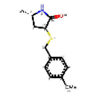 [CH2][C@H]1C[C@H](SCc2ccc(OC)cc2)C(=O)N1